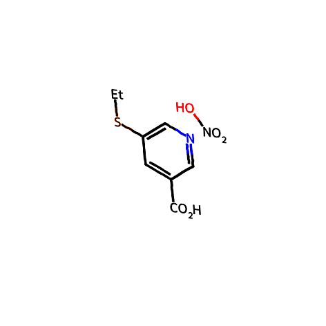 CCSc1cncc(C(=O)O)c1.O=[N+]([O-])O